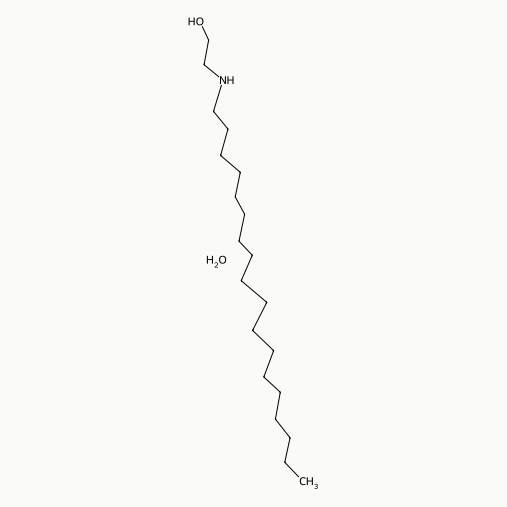 CCCCCCCCCCCCCCCCCCNCCO.O